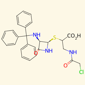 O=C(CCl)NCC(S[C@H]1NC(=O)[C@H]1NC(c1ccccc1)(c1ccccc1)c1ccccc1)C(=O)O